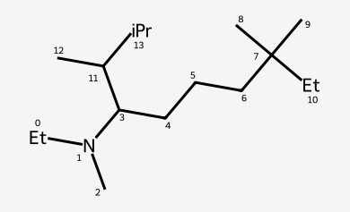 CCN(C)C(CCCC(C)(C)CC)C(C)C(C)C